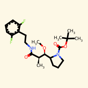 CO[C@@H](C1CCCN1C(=O)OC(C)(C)C)[C@@H](C)C(=O)NCCc1c(F)cccc1F